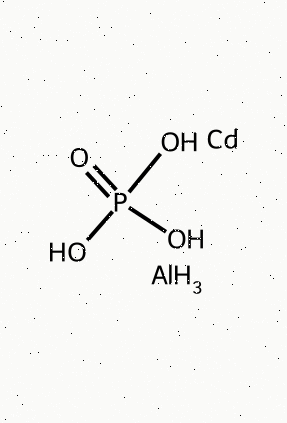 O=P(O)(O)O.[AlH3].[Cd]